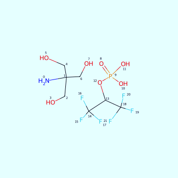 NC(CO)(CO)CO.O=P(O)(O)OC(C(F)(F)F)C(F)(F)F